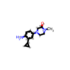 CN1CCN(c2ccc(N)c(C3CC3)c2)CC1=O